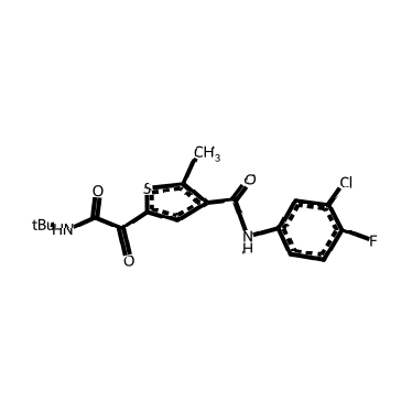 Cc1sc(C(=O)C(=O)NC(C)(C)C)cc1C(=O)Nc1ccc(F)c(Cl)c1